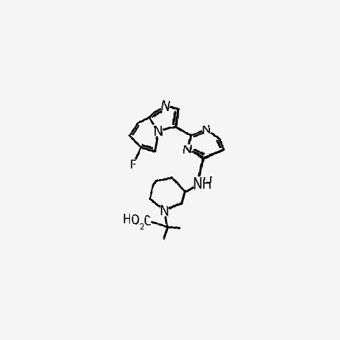 CC(C)(C(=O)O)N1CCCC(Nc2ccnc(-c3cnc4ccc(F)cn34)n2)C1